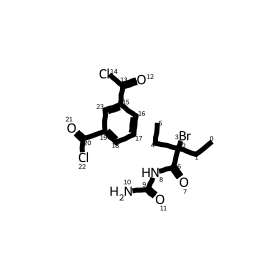 CCC(Br)(CC)C(=O)NC(N)=O.O=C(Cl)c1cccc(C(=O)Cl)c1